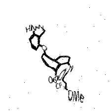 COCCC/N=C1/CCc2c(Oc3cccc4[nH]ncc34)ccc(S(=O)(=O)C(F)(F)F)c21